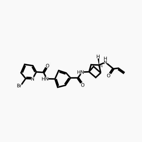 C=CC(=O)N[C@H]1CC2(NC(=O)c3ccc(NC(=O)c4cccc(Br)n4)cc3)CC1C2